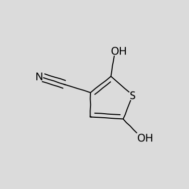 N#Cc1cc(O)sc1O